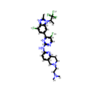 Cc1nc2c(F)cc(-c3nc(Nc4ccc5c(n4)CCN(CCN(C)C)C5)ncc3F)cc2n1C(C)C(F)(F)F